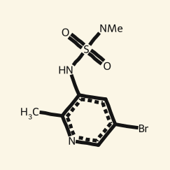 CNS(=O)(=O)Nc1cc(Br)cnc1C